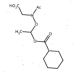 CC(=O)N(CC(=O)O)OC(C)OC(=O)C1CCCCC1